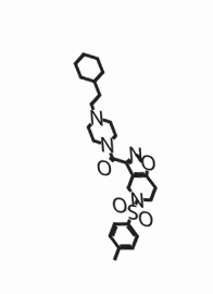 Cc1ccc(S(=O)(=O)N2CCc3onc(C(=O)N4CCN(CCC5CCCCC5)CC4)c3C2)cc1